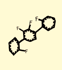 Fc1ccccc1-c1ccc(-c2ccccc2F)c(F)c1F